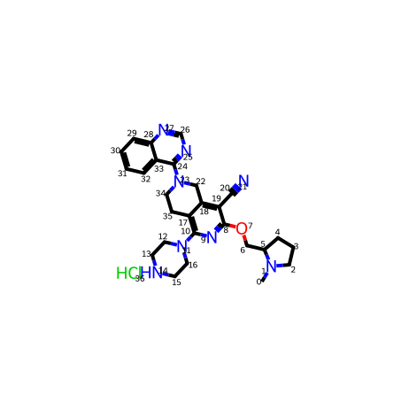 CN1CCCC1COc1nc(N2CCNCC2)c2c(c1C#N)CN(c1ncnc3ccccc13)CC2.Cl